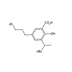 CCCCC(C)c1cc(CCCC(C)C)cc(C(=O)O)c1O